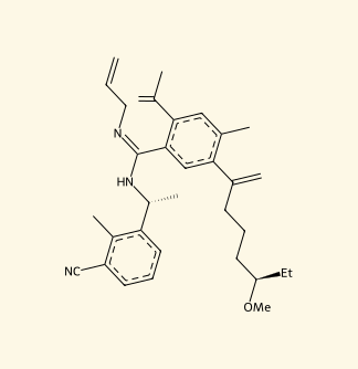 C=CC/N=C(/N[C@H](C)c1cccc(C#N)c1C)c1cc(C(=C)CCC[C@@H](CC)OC)c(C)cc1C(=C)C